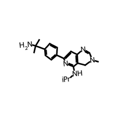 CC(C)Nc1nc(-c2ccc(C(C)(C)N)cc2)cc2c1CN(C)C=N2